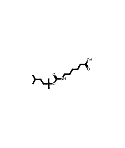 CC(C)CCC(C)(C)OC(=O)NCCCCCC(=O)O